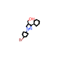 OCc1cn(-c2ccc(Br)cc2)nc1-c1ccccc1